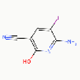 N#Cc1cc(I)c(N)nc1O